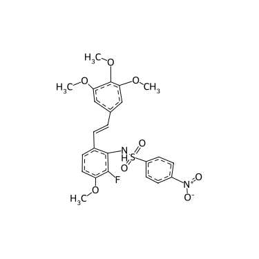 COc1ccc(C=Cc2cc(OC)c(OC)c(OC)c2)c(NS(=O)(=O)c2ccc([N+](=O)[O-])cc2)c1F